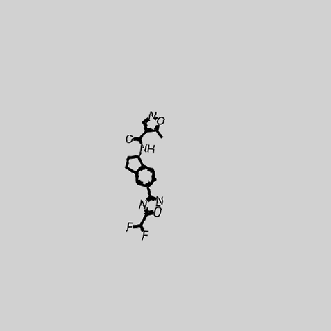 Cc1oncc1C(=O)N[C@@H]1CCc2cc(-c3noc(C(F)F)n3)ccc21